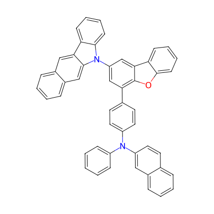 c1ccc(N(c2ccc(-c3cc(-n4c5ccccc5c5cc6ccccc6cc54)cc4c3oc3ccccc34)cc2)c2ccc3ccccc3c2)cc1